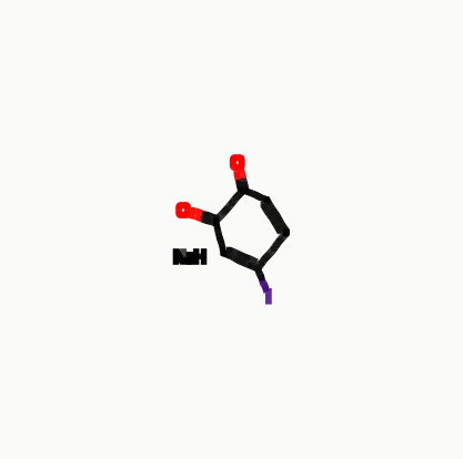 O=C1C=CC(I)=CC1=O.[NaH]